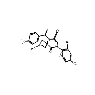 CC(=O)N1CC2(C1)C(=O)N(c1ncc(Cl)cc1F)CC(=O)N2C(C)c1ccc(C(F)(F)F)cc1